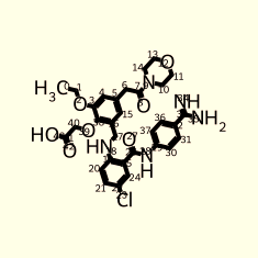 CCOc1cc(CC(=O)N2CCOCC2)cc(CNc2ccc(Cl)cc2C(=O)Nc2ccc(C(=N)N)cc2)c1OCC(=O)O